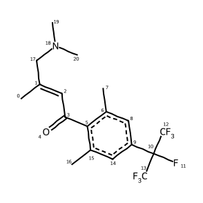 C/C(=C\C(=O)c1c(C)cc(C(F)(C(F)(F)F)C(F)(F)F)cc1C)CN(C)C